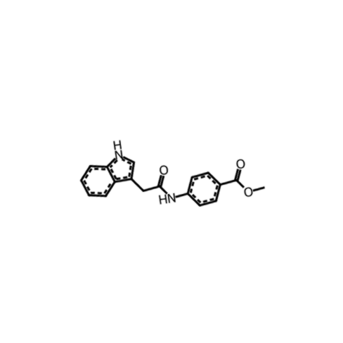 COC(=O)c1ccc(NC(=O)Cc2c[nH]c3ccccc23)cc1